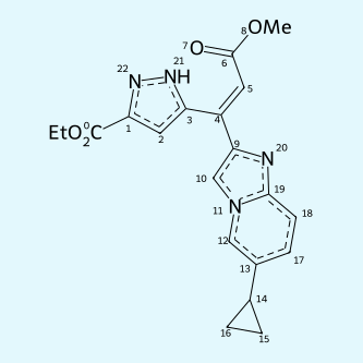 CCOC(=O)c1cc(C(=CC(=O)OC)c2cn3cc(C4CC4)ccc3n2)[nH]n1